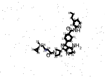 CCCc1ccnc(NC(=O)c2ccc(C3=NC([C@@H]4CCN(C(=O)/C=C/CN(C)C5CC5)C4)c4ncnc(N)c43)cc2)c1